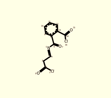 O=C(Cl)CC=NC(=O)c1ccccc1C(=O)Cl